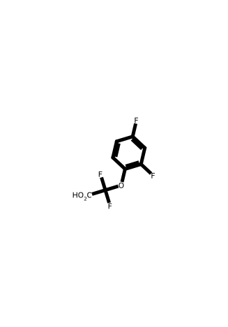 O=C(O)C(F)(F)Oc1ccc(F)cc1F